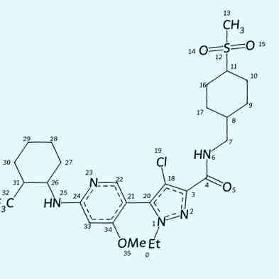 CCn1nc(C(=O)NCC2CCC(S(C)(=O)=O)CC2)c(Cl)c1-c1cnc(NC2CCCCC2C(F)(F)F)cc1OC